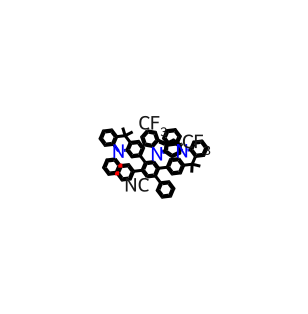 CC1(C)c2ccccc2N(c2ccccc2)c2cc(-c3c(-c4ccccc4)c(C#N)c(-c4ccccc4)c(-c4ccc5c(c4)N(c4ccccc4)c4ccccc4C5(C)C)c3-n3c4ccc(C(F)(F)F)cc4c4cc(C(F)(F)F)ccc43)ccc21